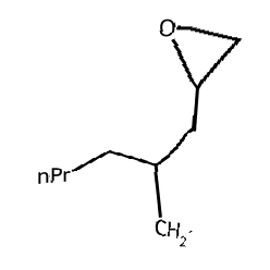 [CH2]C(CCCC)CC1CO1